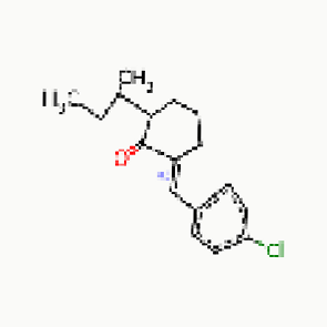 CCC(C)C1CCC/C(=C\c2ccc(Cl)cc2)C1=O